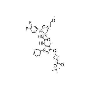 COCCN1C[C@@H](NC(=O)Nc2c(C)c(OC3CN(C(=O)OC(C)(C)C)C3)nn2-c2ccccc2)[C@H](c2ccc(F)c(F)c2)O1